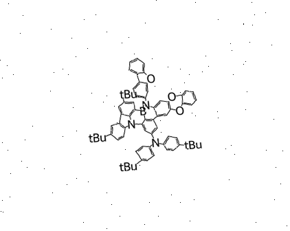 CC(C)(C)c1ccc(N(c2ccc(C(C)(C)C)cc2)c2cc3c4c(c2)-n2c5ccc(C(C)(C)C)cc5c5cc(C(C)(C)C)cc(c52)B4N(c2ccc4c(c2)oc2ccccc24)c2cc4c(cc2-3)Oc2ccccc2O4)cc1